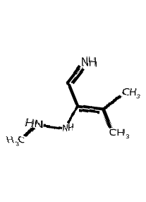 CNNC(C=N)=C(C)C